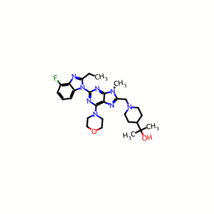 CCc1nc2c(F)cccc2n1-c1nc(N2CCOCC2)c2nc(CN3CCC(C(C)(C)O)CC3)n(C)c2n1